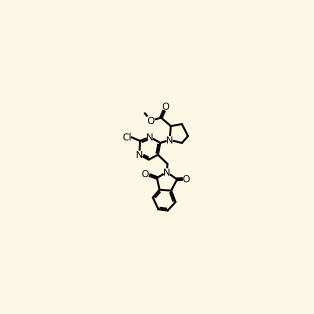 COC(=O)C1CCCN1c1nc(Cl)ncc1CN1C(=O)c2ccccc2C1=O